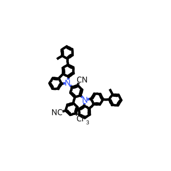 Cc1ccccc1-c1ccc2c(c1)c1ccccc1n2-c1cc(-c2cc(C#N)cc(C(F)(F)F)c2)c(-n2c3ccccc3c3cc(-c4ccccc4C)ccc32)cc1C#N